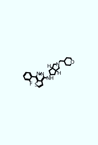 Fc1ccccc1-c1nnc(N[C@H]2C[C@@H]3CN(CC4CCOCC4)C[C@@H]3C2)c2ccsc12